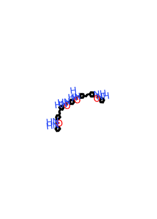 O=C(Nc1ccccc1)Nc1ccc(/C=C/c2ccc(NC(=O)Nc3cccc(NC(=O)Nc4ccc(/C=C/c5ccc(NC(=O)Nc6ccccc6)cc5)cc4)c3)cc2)cc1